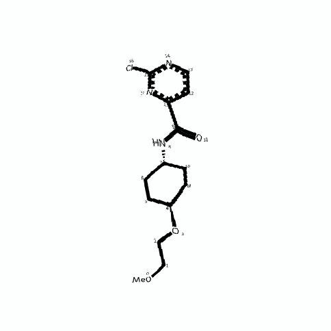 COCCO[C@H]1CC[C@H](NC(=O)c2ccnc(Cl)n2)CC1